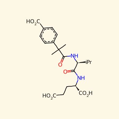 CC(C)[C@H](NC(=O)C(C)(C)c1ccc(C(=O)O)cc1)C(=O)N[C@H](CCC(=O)O)C(=O)O